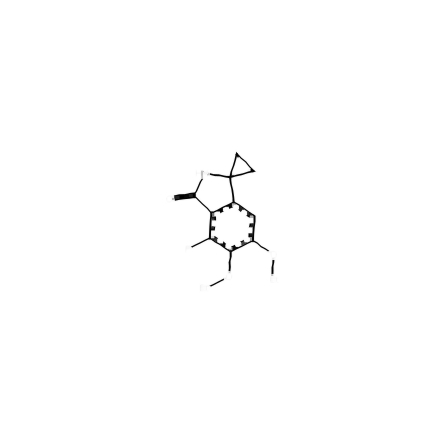 CCOc1cc2c(c(F)c1OCC)C(=O)NC21CC1